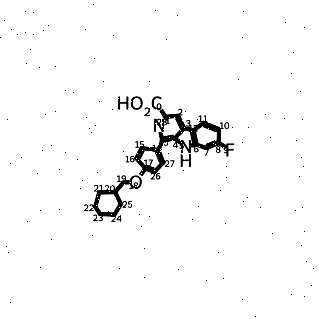 O=C(O)c1cc2c([nH]c3cc(F)ccc32)c(-c2ccc(OCC3CCCCC3)cc2)n1